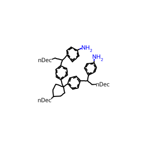 CCCCCCCCCCCC(c1ccc(N)cc1)c1ccc(C2(c3ccc(C(CCCCCCCCCCC)c4ccc(N)cc4)cc3)CCC(CCCCCCCCCC)CC2)cc1